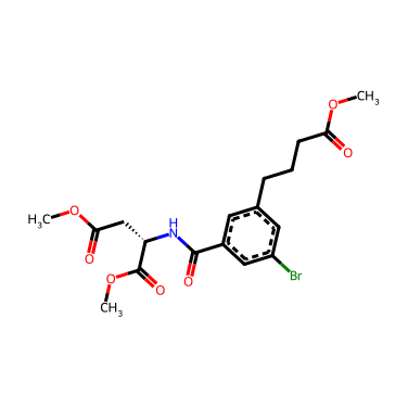 COC(=O)CCCc1cc(Br)cc(C(=O)N[C@@H](CC(=O)OC)C(=O)OC)c1